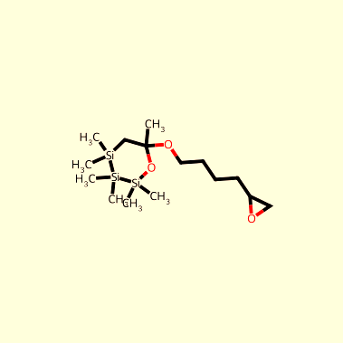 CC1(OCCCCC2CO2)C[Si](C)(C)[Si](C)(C)[Si](C)(C)O1